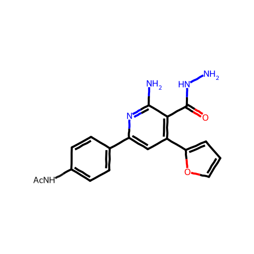 CC(=O)Nc1ccc(-c2cc(-c3ccco3)c(C(=O)NN)c(N)n2)cc1